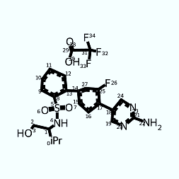 CC(C)C(CO)NS(=O)(=O)c1ccccc1-c1ccc(-c2cnc(N)nc2)c(F)c1.O=C(O)C(F)(F)F